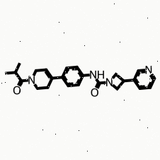 CC(C)C(=O)N1CC=C(c2ccc(NC(=O)N3CC(c4cccnc4)C3)cc2)CC1